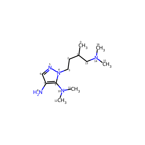 CC(CCn1ncc(N)c1N(C)C)CN(C)C